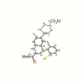 CCOC(=O)C1CC=C(c2c(C)cc3nc(C(=O)NC)cc(-c4ccccc4F)c3c2C)CC1